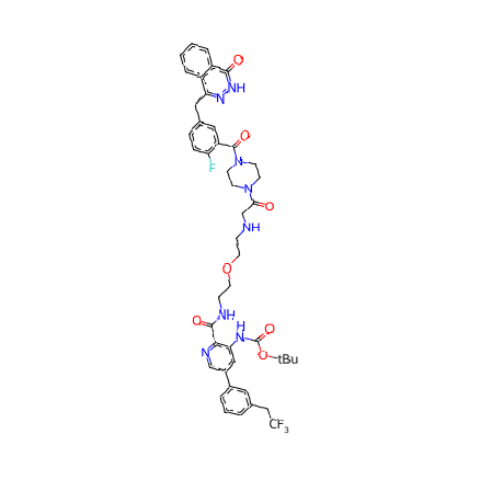 CC(C)(C)OC(=O)Nc1cc(-c2cccc(CC(F)(F)F)c2)cnc1C(=O)NCCOCCNCC(=O)N1CCN(C(=O)c2cc(Cc3n[nH]c(=O)c4ccccc34)ccc2F)CC1